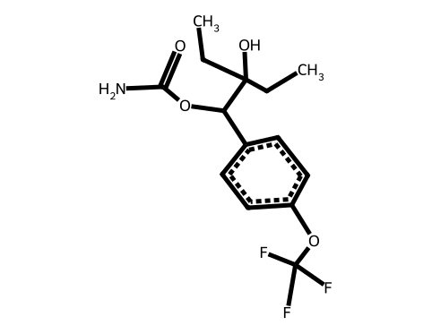 CCC(O)(CC)C(OC(N)=O)c1ccc(OC(F)(F)F)cc1